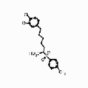 Cc1ccc(S(=O)(=O)C(CCCCCc2ccc(Cl)c(Cl)c2)C(=O)O)cc1